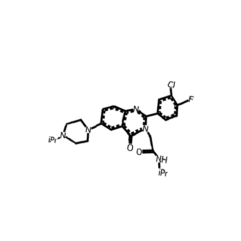 CC(C)NC(=O)Cn1c(-c2ccc(F)c(Cl)c2)nc2ccc(N3CCN(C(C)C)CC3)cc2c1=O